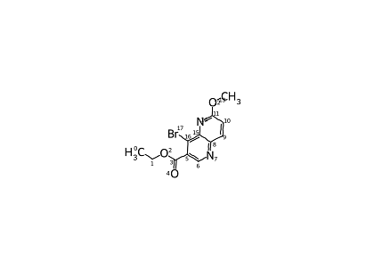 CCOC(=O)c1cnc2ccc(OC)nc2c1Br